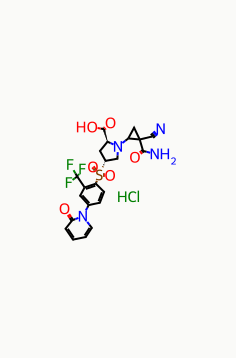 Cl.N#CC1(C(N)=O)CC1N1C[C@H](S(=O)(=O)c2ccc(-n3ccccc3=O)cc2C(F)(F)F)C[C@H]1C(=O)O